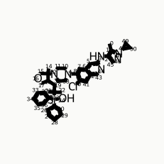 Cc1c(Nc2cc3cc(N4CCN(C5(C)COCC5CC(C)(C)[Si](O)(c5ccccc5)c5ccccc5)CC4)c(Cl)cc3cn2)cnn1C1CC1